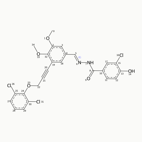 COc1cc(/C=N/NC(=O)c2ccc(O)c(Cl)c2)cc(C#CCOc2c(Cl)cccc2Cl)c1OC